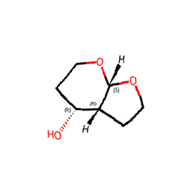 O[C@@H]1CCO[C@@H]2OCC[C@@H]21